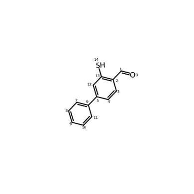 O=Cc1ccc(-c2ccccc2)cc1S